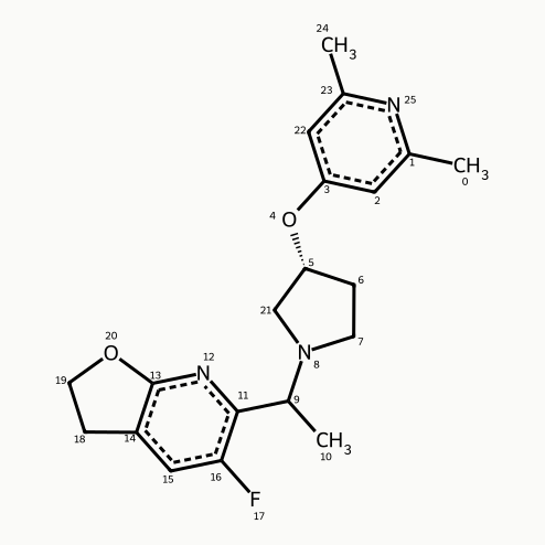 Cc1cc(O[C@@H]2CCN(C(C)c3nc4c(cc3F)CCO4)C2)cc(C)n1